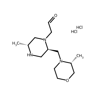 C[C@@H]1CN(CC=O)[C@@H](CN2CCOC[C@H]2C)CN1.Cl.Cl